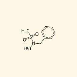 CC(C)(C)N(Cc1ccccc1)S(C)(=O)=O